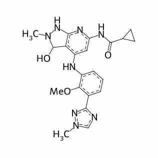 COc1c(Nc2cc(NC(=O)C3CC3)nc3c2C(O)N(C)N3)cccc1-c1ncn(C)n1